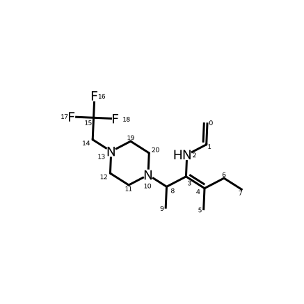 C=CN/C(=C(/C)CC)C(C)N1CCN(CC(F)(F)F)CC1